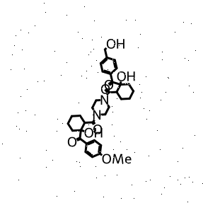 COc1ccc(C(=O)C2(O)CCCCC2C(=O)N2CCN(C(=O)C3CCCCC3(O)C(=O)c3ccc(CO)cc3)CC2)cc1